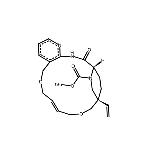 C=C[C@@]12CC[C@@H](C(=O)Nc3ncccc3COC/C=C/COC1)N(C(=O)OC(C)(C)C)C2